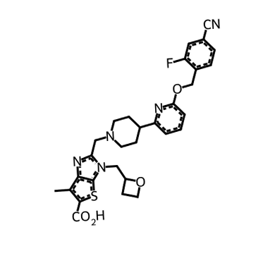 Cc1c(C(=O)O)sc2c1nc(CN1CCC(c3cccc(OCc4ccc(C#N)cc4F)n3)CC1)n2CC1CCO1